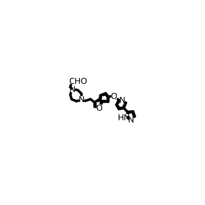 O=CCN1CCCN(CCc2coc3cc(Oc4ccc(-c5ccn[nH]5)cn4)ccc23)CC1